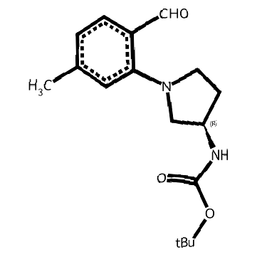 Cc1ccc(C=O)c(N2CC[C@@H](NC(=O)OC(C)(C)C)C2)c1